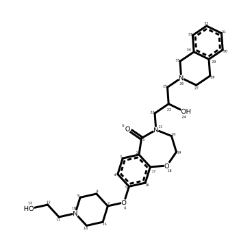 O=C1c2ccc(OC3CCN(CCO)CC3)cc2OCCN1CC(O)CN1CCc2ccccc2C1